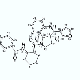 O=C(NC1CCCC[C@@H]1C(=O)N1CC[C@@H]2[C@H](c3ccoc3)Nc3ccccc3[C@@H]21)c1ccccc1